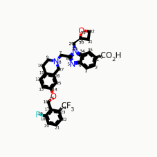 O=C(O)c1ccc2nc(CN3CCc4ccc(OCc5c(F)cccc5C(F)(F)F)cc4C3)n(C[C@@H]3CCO3)c2c1